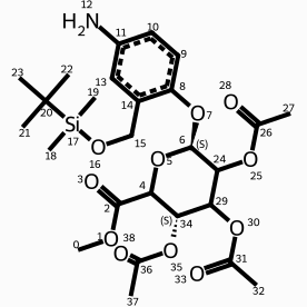 COC(=O)C1O[C@@H](Oc2ccc(N)cc2CO[Si](C)(C)C(C)(C)C)C(OC(C)=O)C(OC(C)=O)[C@@H]1OC(C)=O